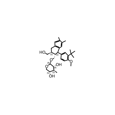 COc1ccc(C2c3cc(C)c(C)cc3C[C@H](CO)[C@H]2CO[C@@H]2OC[C@@H](O)[C@H](C)[C@H]2O)cc1C(C)(C)C